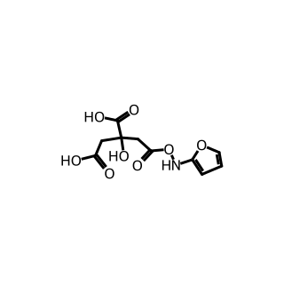 O=C(O)CC(O)(CC(=O)ONc1ccco1)C(=O)O